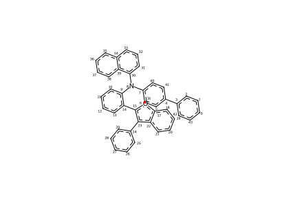 c1ccc(-c2ccc(N(c3ccccc3-c3oc4ccccc4c3-c3ccccc3)c3cccc4ccccc34)cc2)cc1